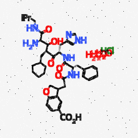 CC(C)CNC(=O)C(N)[C@@H](O)[C@H](CC1CCCCC1)C(=O)[C@H](Cc1c[nH]cn1)NC(=O)[C@H](Cc1ccccc1)NC(=O)CC1COc2ccc(C(=O)O)cc21.Cl.O.O.O